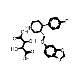 Fc1ccc([C@@H]2CCNC[C@H]2COc2ccc3c(c2)OCO3)cc1.O=C(O)C(O)C(O)C(=O)O